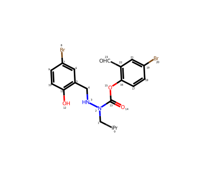 CC(C)CN(NCc1cc(Br)ccc1O)C(=O)Oc1ccc(Br)cc1C=O